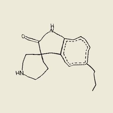 CCc1ccc2c(c1)C1(CCNC1)C(=O)N2